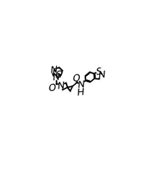 O=C(Nc1ccc2sncc2c1)C1CC12CN(C(=O)N1CCN3CCC1CC3)C2